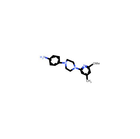 COc1cc(C)cc(N2CCN(c3ccc(N)cc3)CC2)n1